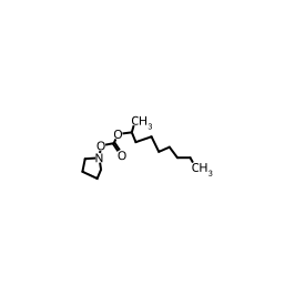 CCCCCCCC(C)OC(=O)ON1CCCC1